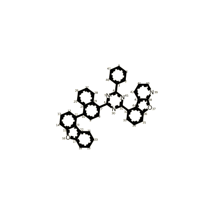 c1ccc(-c2nc(-c3ccc(-c4cccc5oc6ccccc6c45)c4ccccc34)nc(-c3cccc4oc5ncccc5c34)n2)cc1